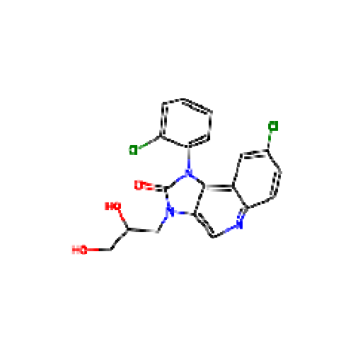 O=c1n(CC(O)CO)c2cnc3ccc(Cl)cc3c2n1-c1ccccc1Cl